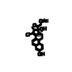 CC(=O)OCC(=O)[C@@]1(O)[C@H](C)C(Cl)=C2c3ccc4cc(O)ccc4c3CC[C@@]21C